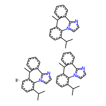 CC(C)c1cccc(C(C)C)c1-n1ccnc1-c1ccccc1.CC(C)c1cccc(C(C)C)c1-n1ccnc1-c1ccccc1.CC(C)c1cccc(C(C)C)c1-n1ccnc1-c1ccccc1.[Ir]